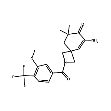 COc1cc(C(=O)N2CC3(C=C(N)C(=O)C(C)(C)C3)C2)ccc1C(F)(F)F